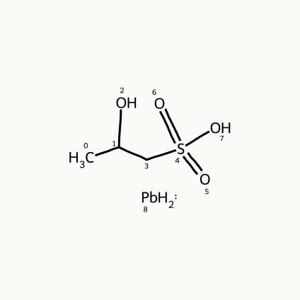 CC(O)CS(=O)(=O)O.[PbH2]